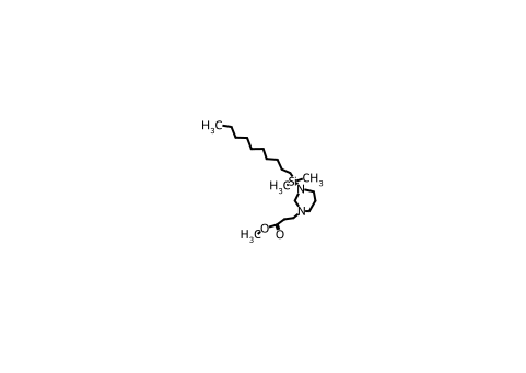 CCCCCCCCCC[Si](C)(C)N1CCCN(CCC(=O)OC)C1